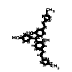 Cc1csc(C=Cc2ccc(C(c3ccc(O)cc3)c3ccc(C=Cc4nc(C)cs4)cc3O)c(O)c2)n1